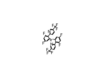 Fc1cc(F)c(-c2ccc(C(F)(F)F)cn2)[c]([Ir+][c]2cc(F)cc(F)c2-c2ccc(C(F)(F)F)cn2)c1